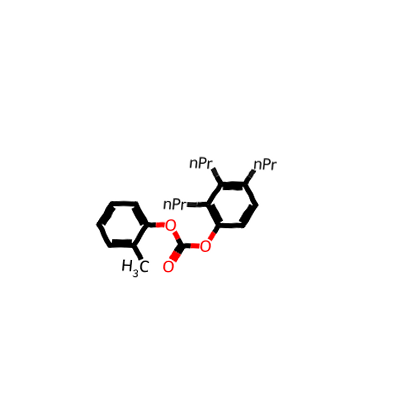 CCCc1ccc(OC(=O)Oc2ccccc2C)c(CCC)c1CCC